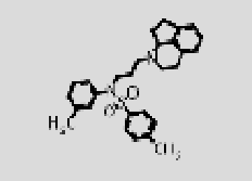 Cc1ccc(S(=O)(=O)N(CCCN2CCc3cccc4c3C2CC4)c2cccc(C)c2)cc1